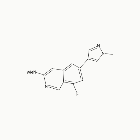 CNc1cc2cc(-c3cnn(C)c3)cc(F)c2cn1